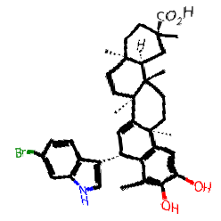 Cc1c(O)c(O)cc2c1[C@H](c1c[nH]c3cc(Br)ccc13)C=C1[C@@]2(C)CC[C@@]2(C)[C@@H]3C[C@](C)(C(=O)O)CC[C@]3(C)CC[C@]12C